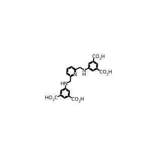 O=C(O)c1cc(NCc2cccc(CNc3cc(C(=O)O)cc(C(=O)O)c3)n2)cc(C(=O)O)c1